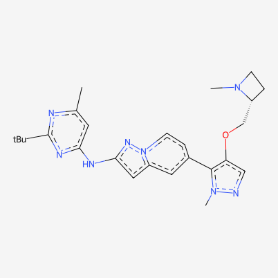 Cc1cc(Nc2cc3cc(-c4c(OC[C@H]5CCN5C)cnn4C)ccn3n2)nc(C(C)(C)C)n1